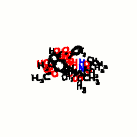 COC(=O)O[C@@]12CO[C@@H]1C[C@H](O)[C@@]1(C)C(=O)[C@H](OC(C)=O)C3=C(C)[C@@H](OC(=O)[C@H](O)[C@@H](NC(=O)OC(C)(C)C)C(C)(C)C)C[C@@](O)([C@@H](OC(=O)c4ccccc4)C12)C3(C)C